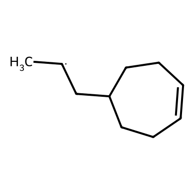 C[CH]CC1CCC=CCC1